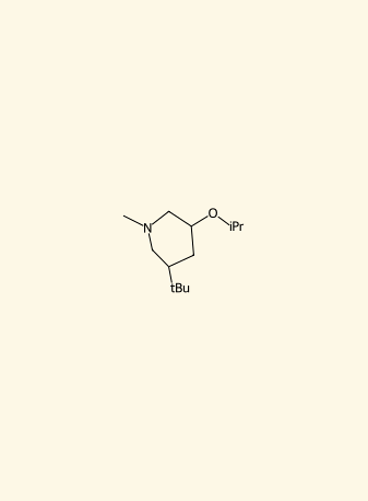 CC(C)OC1CC(C(C)(C)C)CN(C)C1